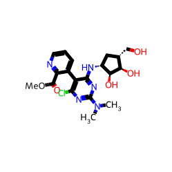 COC(=O)c1ncccc1-c1c(Cl)nc(N(C)C)nc1N[C@@H]1C[C@H](CO)[C@@H](O)[C@H]1O